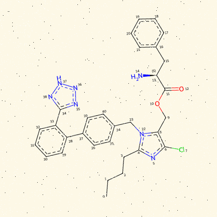 CCCCc1nc(Cl)c(COC(=O)[C@@H](N)Cc2ccccc2)n1Cc1ccc(-c2ccccc2-c2nn[nH]n2)cc1